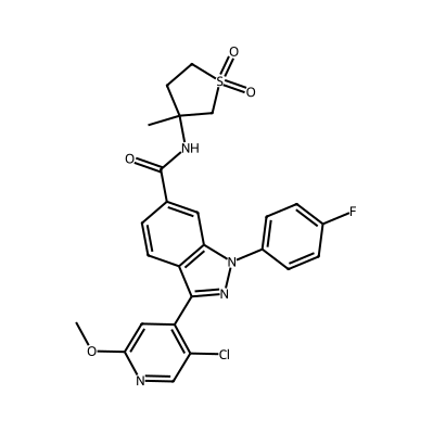 COc1cc(-c2nn(-c3ccc(F)cc3)c3cc(C(=O)NC4(C)CCS(=O)(=O)C4)ccc23)c(Cl)cn1